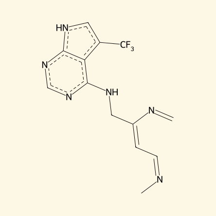 C=N/C(=C\C=N/C)CNc1ncnc2[nH]cc(C(F)(F)F)c12